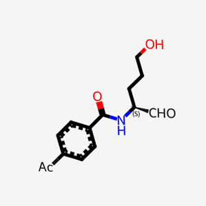 CC(=O)c1ccc(C(=O)N[C@H](C=O)CCCO)cc1